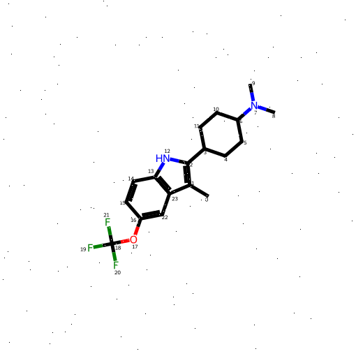 Cc1c(C2CCC(N(C)C)CC2)[nH]c2ccc(OC(F)(F)F)cc12